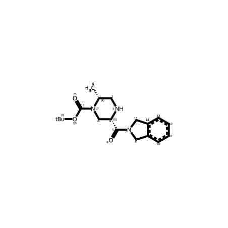 C[C@@H]1CN[C@H](C(=O)N2Cc3ccccc3C2)CN1C(=O)OC(C)(C)C